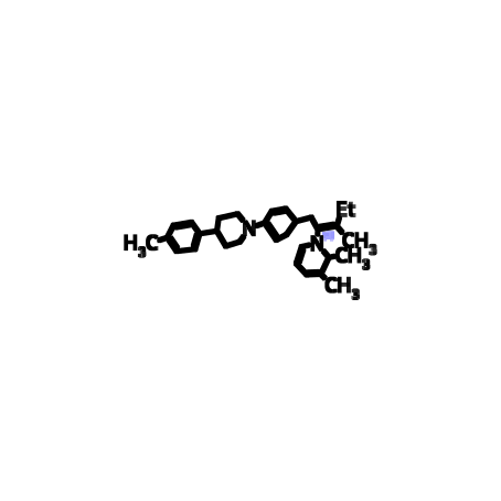 CC/C(C)=C(\CC1C=CC(N2CCC(c3ccc(C)cc3)CC2)=CC1)N1C=CC=C(C)C1C